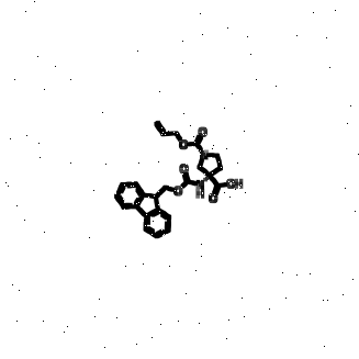 C=CCOC(=O)N1CC[C@@](NC(=O)OCC2c3ccccc3-c3ccccc32)(C(=O)O)C1